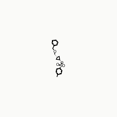 Cc1ccc(S(=O)(=O)O[C@H]2C[C@@H](COCc3ccccc3)C2)cc1